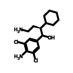 NCC[C@@H](C1CCCCC1)C(O)c1cc(Cl)c(N)c(Cl)c1